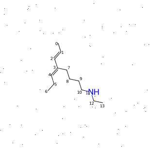 C/C=C/C(=C/CC)CCCCNCC